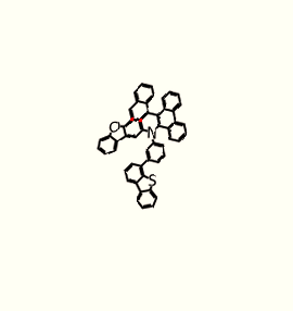 c1cc(-c2cccc3c2sc2ccccc23)cc(N(c2ccc3oc4ccccc4c3c2)c2c(-c3cccc4ccccc34)c3ccccc3c3ccccc23)c1